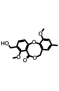 COc1cc(C)cc2c1Oc1ccc(CO)c(OC)c1C(=O)OC2